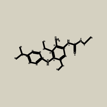 CCOC(=O)Nc1cc(CC)c(Nc2ccc(C(C)C)cc2)c(CC)c1N